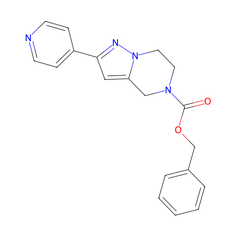 O=C(OCc1ccccc1)N1CCn2nc(-c3ccncc3)cc2C1